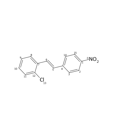 O=[N+]([O-])c1ccc(C=Cc2ccccc2Cl)cc1